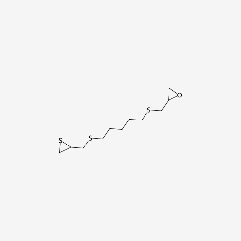 C(CCSCC1CO1)CCSCC1CS1